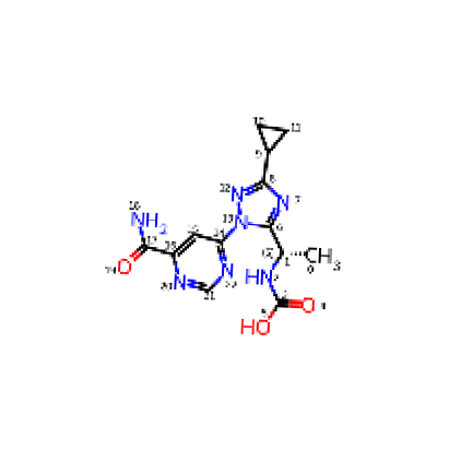 C[C@H](NC(=O)O)c1nc(C2CC2)nn1-c1cc(C(N)=O)ncn1